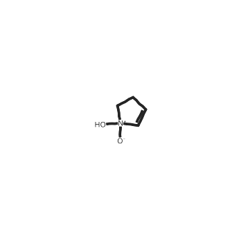 [O-][N+]1(O)C=CCC1